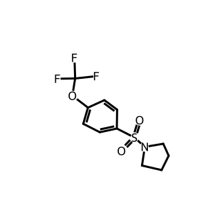 O=S(=O)(c1ccc(OC(F)(F)F)cc1)N1CCCC1